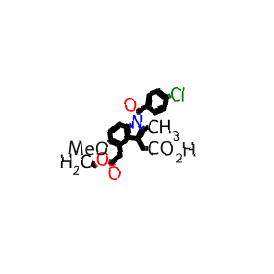 C=COC(=O)Cc1c(OC)ccc2c1c(CC(=O)O)c(C)n2C(=O)c1ccc(Cl)cc1